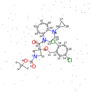 CC(C)(C)OC(=O)N1CC(OCc2cc(Cl)ccc2Cl)(C(=O)N2CCN(C3CC3)c3ccccc32)C1